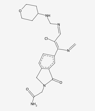 C=N/C(=C(Cl)\C=N/CNC1CCOCC1)c1ccc2c(c1)C(=O)N(CC(N)=O)C2